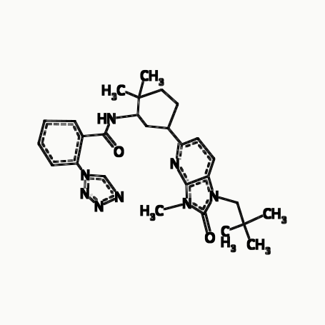 Cn1c(=O)n(CC(C)(C)C)c2ccc(C3CCC(C)(C)C(NC(=O)c4ccccc4-n4cnnn4)C3)nc21